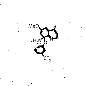 COC1=CC(N)(Oc2cccc(C(F)(F)F)c2)C2=NCC=C(C)C2=C1